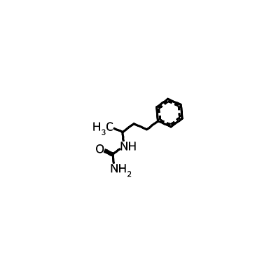 CC(CCc1ccccc1)NC(N)=O